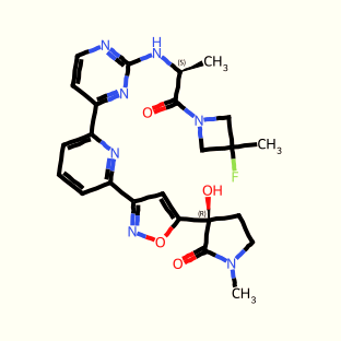 C[C@H](Nc1nccc(-c2cccc(-c3cc([C@]4(O)CCN(C)C4=O)on3)n2)n1)C(=O)N1CC(C)(F)C1